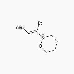 CCCCC=C(CC)[SiH]1CCCCO1